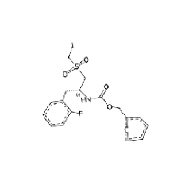 O=C(N[C@H](Cc1ccccc1F)CS(=O)(=O)CI)OCc1ccccc1